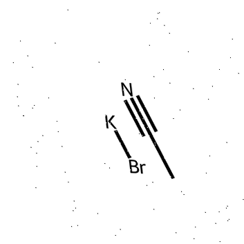 CC#N.[K][Br]